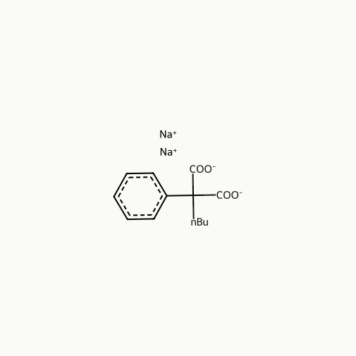 CCCCC(C(=O)[O-])(C(=O)[O-])c1ccccc1.[Na+].[Na+]